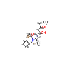 CC(C)(C)SC(=O)N1C(c2ccccc2)SC(C)(C)[C@@H]1/C=C/[C@@H](O)C[C@@H](O)CC(=O)O